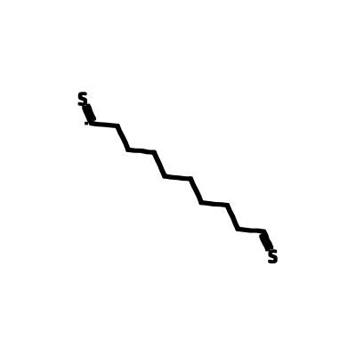 S=[C]CCCCCCCCC=S